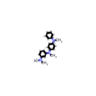 CC(=O)N(C)c1cccc(N(C)c2ccc(N(C)c3ccccc3)cc2)c1